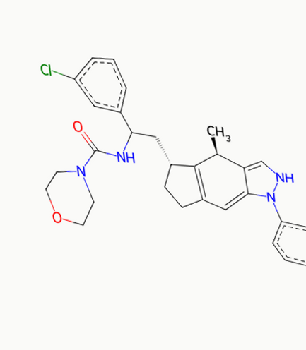 C[C@H]1C2=CNN(c3ccc(F)cc3)C2=CC2=C1[C@@H](CC(NC(=O)N1CCOCC1)c1cccc(Cl)c1)CC2